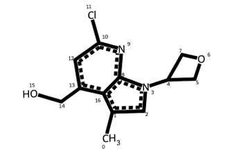 Cc1cn(C2COC2)c2nc(Cl)cc(CO)c12